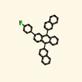 Fc1ccc(-c2ccc3c(-c4ccc5ccccc5c4)c4ccccc4c(-c4ccc5ccccc5c4)c3c2)cc1